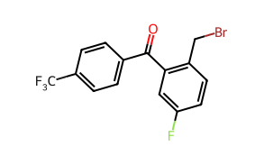 O=C(c1ccc(C(F)(F)F)cc1)c1cc(F)ccc1CBr